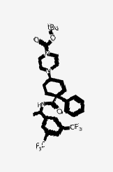 CC(NC(=O)[C@]1(c2ccccc2)CC[C@H](N2CCN(C(=O)OC(C)(C)C)CC2)CC1)c1cc(C(F)(F)F)cc(C(F)(F)F)c1